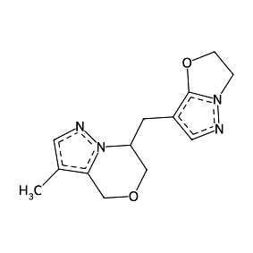 Cc1cnn2c1COCC2Cc1cnn2c1OCC2